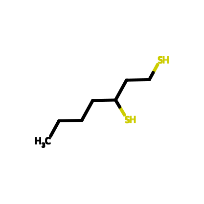 CCCCC(S)CCS